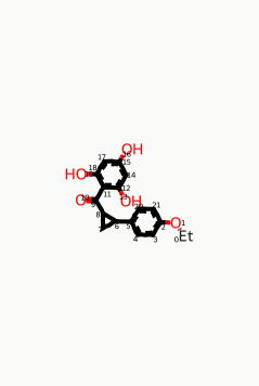 CCOc1ccc(C2CC2C(=O)c2c(O)cc(O)cc2O)cc1